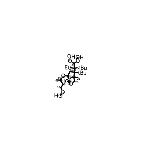 CCCCC(CC)(C(OO)OO)C(CC(=O)OC(C)CCOO)(C(C)(C)C)C(C)(C)COO